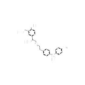 COc1ccc(Nc2ccc(CCNC[C@@H](O)c3ccc(O)c(CO)c3)cc2)cc1